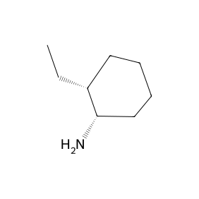 CC[C@@H]1CCCC[C@@H]1N